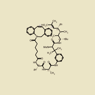 CNC(C(=O)N[C@H](C(C)N(C)[C@H](/C=C(\C)C(=O)O)C(C)C)C(C)(C)C)C(C)(C)c1cccc(NC(=O)[C@H](C)NC(=O)[C@@H](NC(=O)CCCCC(=O)N2Cc3ccccc3/C=C\c3ccccc32)C(C)C)c1